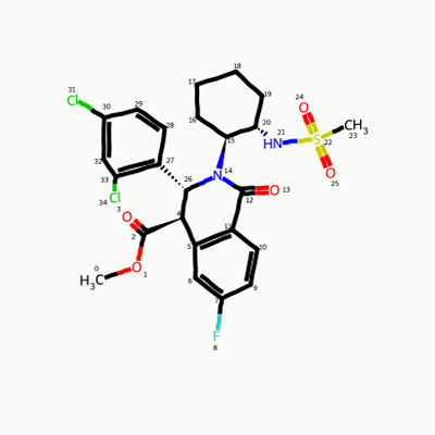 COC(=O)[C@@H]1c2cc(F)ccc2C(=O)N([C@H]2CCCC[C@@H]2NS(C)(=O)=O)[C@H]1c1ccc(Cl)cc1Cl